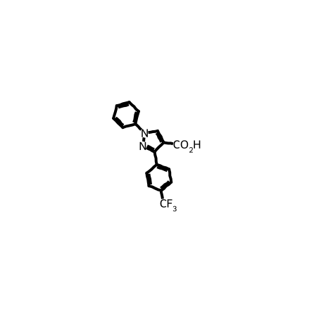 O=C(O)c1cn(-c2ccccc2)nc1-c1ccc(C(F)(F)F)cc1